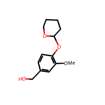 COc1cc(CO)ccc1OC1CCCCO1